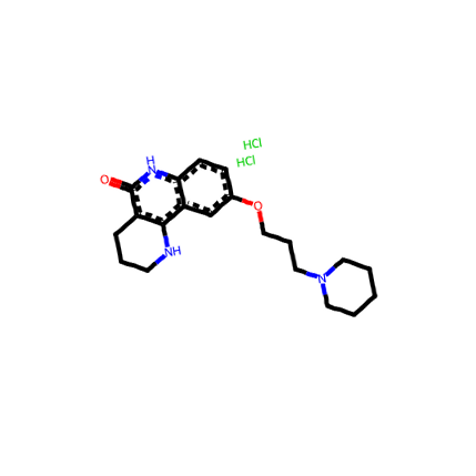 Cl.Cl.O=c1[nH]c2ccc(OCCCN3CCCCC3)cc2c2c1CCCN2